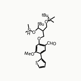 COc1cc(OCC(CO[Si](C)(C)C(C)(C)C)C(O[SiH](C)C)C(C)(C)C)c(C=O)cc1-c1cccs1